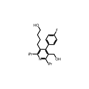 CC(C)c1nc(C(C)C)c(CCCCO)c(-c2ccc(F)cc2)c1CO